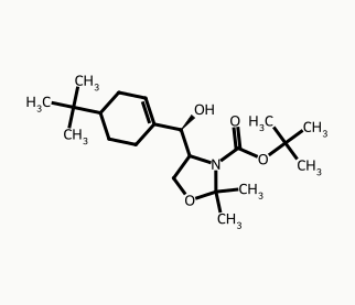 CC(C)(C)OC(=O)N1C([C@H](O)C2=CCC(C(C)(C)C)CC2)COC1(C)C